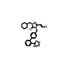 CCC=Cc1nn(CC2CCCCC2)c(=O)n1Cc1ccc(-c2ccccc2-c2nnn[nH]2)cc1